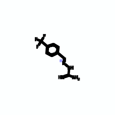 N=C(N)N/N=C/c1ccc(C(F)(F)F)cc1